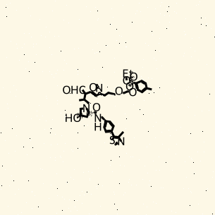 CCOS(=O)(=O)c1ccc(C)cc1OCCOCCCc1cc(C(C=O)C(C)CN2C[C@H](O)C[C@H]2C(=O)NCc2ccc(-c3scnc3C)cc2)on1